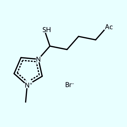 CC(=O)CCCC(S)n1cc[n+](C)c1.[Br-]